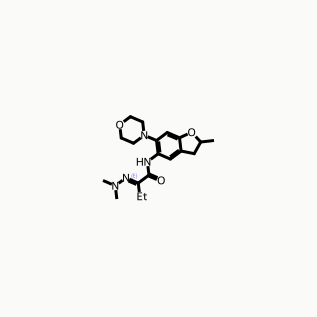 CC/C(=N\N(C)C)C(=O)Nc1cc2c(cc1N1CCOCC1)OC(C)C2